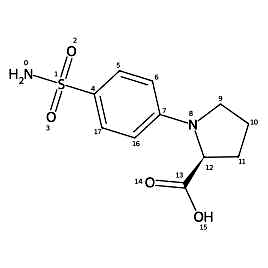 NS(=O)(=O)c1ccc(N2CCC[C@H]2C(=O)O)cc1